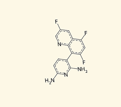 Nc1ccc(-c2c(F)cc(F)c3cc(F)cnc23)c(N)n1